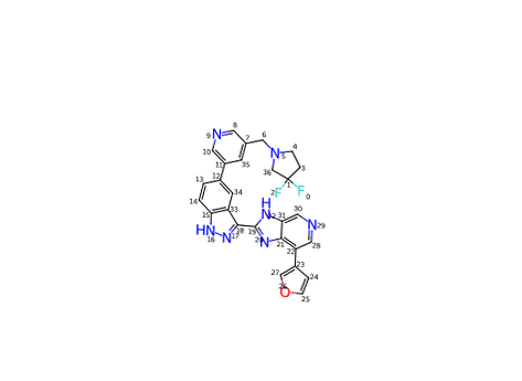 FC1(F)CCN(Cc2cncc(-c3ccc4[nH]nc(-c5nc6c(-c7ccoc7)cncc6[nH]5)c4c3)c2)C1